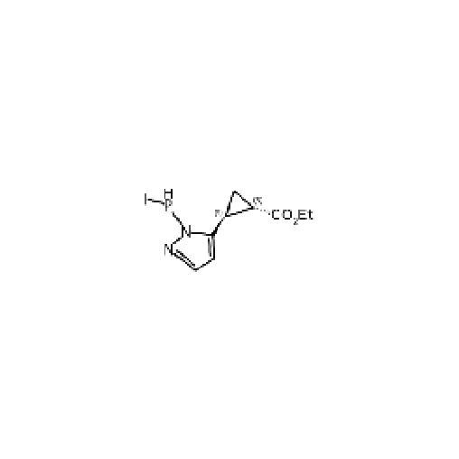 CCOC(=O)[C@H]1C[C@@H]1c1ccnn1PI